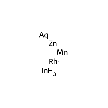 [Ag].[InH3].[Mn].[Rh].[Zn]